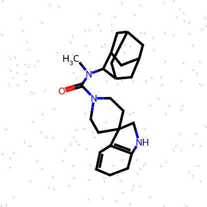 CN(C(=O)N1CCC2(CC1)CNC1=C2C=CCC1)C1C2CC3CC(C2)CC1C3